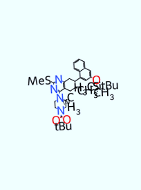 CSc1nc2c(c(N3CCN(C(=O)OC(C)(C)C)C[C@@H]3C)n1)CC(C)C(c1cc(O[Si](C)(C)C(C)(C)C)cc3ccccc13)C2